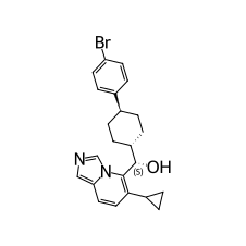 O[C@H](c1c(C2CC2)ccc2cncn12)[C@H]1CC[C@H](c2ccc(Br)cc2)CC1